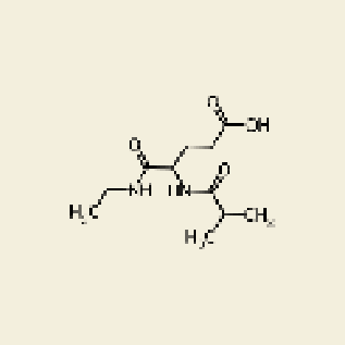 CCNC(=O)C(CCC(=O)O)NC(=O)C(C)C